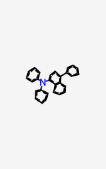 c1ccc(-c2ccc(N(c3ccccc3)c3ccccc3)c3ccccc23)cc1